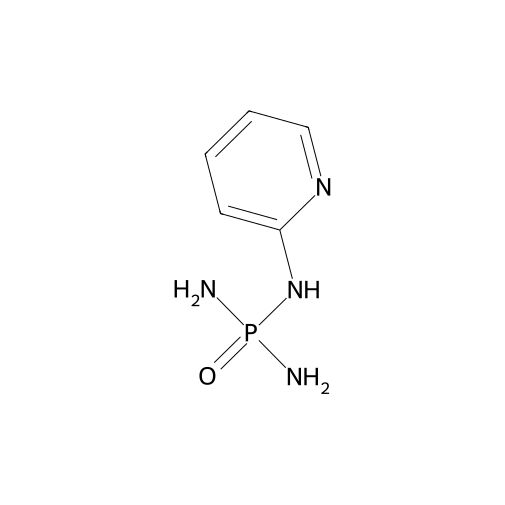 NP(N)(=O)Nc1ccccn1